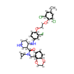 Cc1cc(Cl)c(OCCOc2ccc(NC3CCNCC3C(=O)N(Cc3cccc4c3OCCO4)C3CC3)cc2F)c(Cl)c1